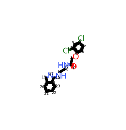 O=C(COc1ccc(Cl)cc1Cl)NCCNC1=NCc2ccccc21